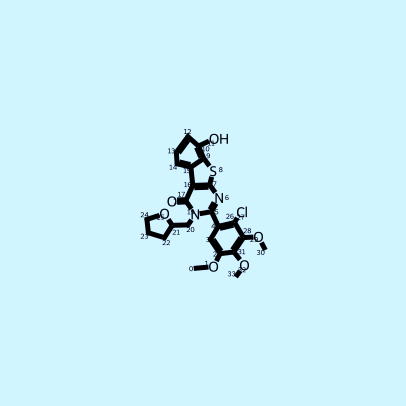 COc1cc(-c2nc3sc4c(O)cccc4c3c(=O)n2CC2CCCO2)c(Cl)c(OC)c1OC